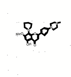 COc1cc(O)c2c(=O)cc(-c3ccc(N4CCN(C)CC4)cc3)oc2c1N1CCCCC1